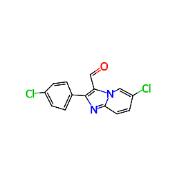 O=Cc1c(-c2ccc(Cl)cc2)nc2ccc(Cl)cn12